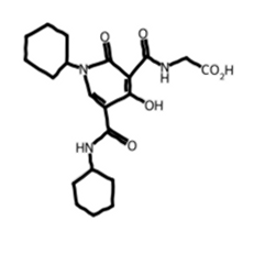 O=C(O)CNC(=O)c1c(O)c(C(=O)NC2CCCCC2)cn(C2CCCCC2)c1=O